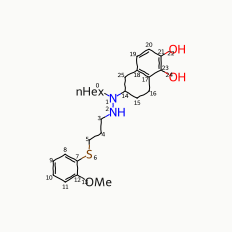 CCCCCCN(NCCCSc1ccccc1OC)C1CCc2c(ccc(O)c2O)C1